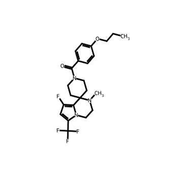 CCCOc1ccc(C(=O)N2CCC3(CC2)c2c(F)cc(C(F)(F)F)n2CCN3C)cc1